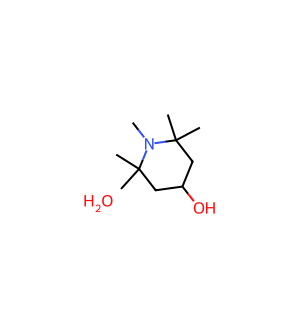 CN1C(C)(C)CC(O)CC1(C)C.O